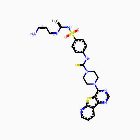 C=C(/N=C\C=C/N)NS(=O)(=O)c1ccc(NC(=S)N2CCN(c3ncnc4c3sc3ncccc34)CC2)cc1